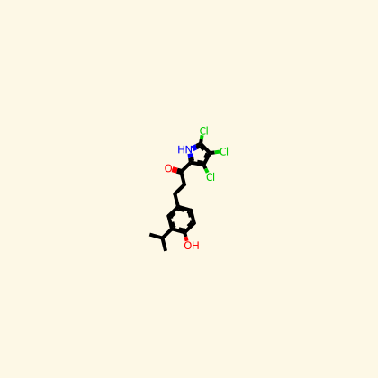 CC(C)c1cc(CCC(=O)c2[nH]c(Cl)c(Cl)c2Cl)ccc1O